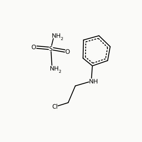 ClCCNc1ccccc1.NS(N)(=O)=O